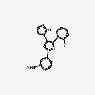 CC(=O)Nc1cc(-n2cc(-c3ccn[nH]3)c(-c3ccccc3Cl)n2)ccn1